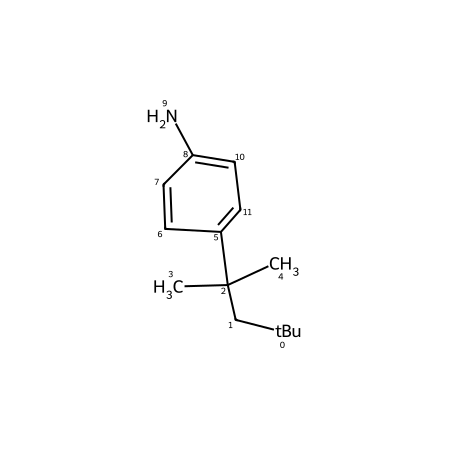 CC(C)(C)CC(C)(C)c1ccc(N)cc1